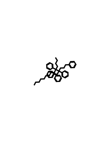 CCCCCCCC[C](c1ccccc1)C(CCCC)(c1ccccc1)C(CCCc1ccccc1)(Cc1ccccc1)c1ccccc1